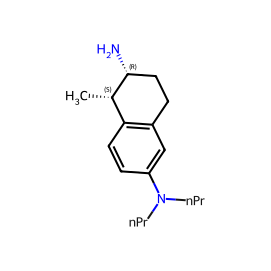 CCCN(CCC)c1ccc2c(c1)CC[C@@H](N)[C@H]2C